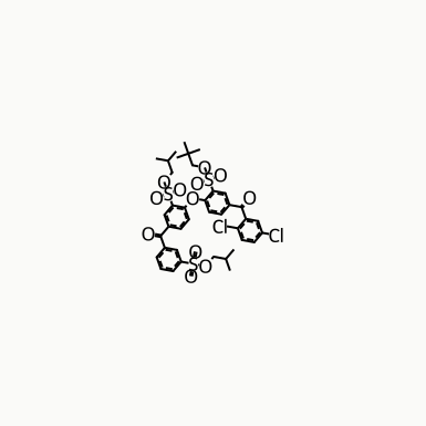 CC(C)COS(=O)(=O)c1cccc(C(=O)c2ccc(Oc3ccc(C(=O)c4cc(Cl)ccc4Cl)cc3S(=O)(=O)OCC(C)(C)C)c(S(=O)(=O)OCC(C)C)c2)c1